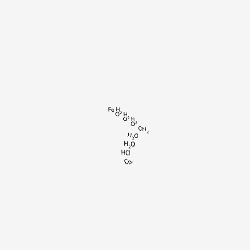 Cl.O.O.O.O.O.O.[Co].[Fe]